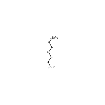 CCCCCCC[CH]SC